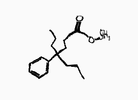 CCCC(CCC)(CCC(=O)O[SiH3])c1ccccc1